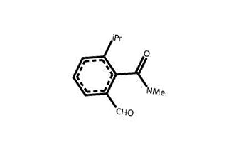 CNC(=O)c1c(C=O)cccc1C(C)C